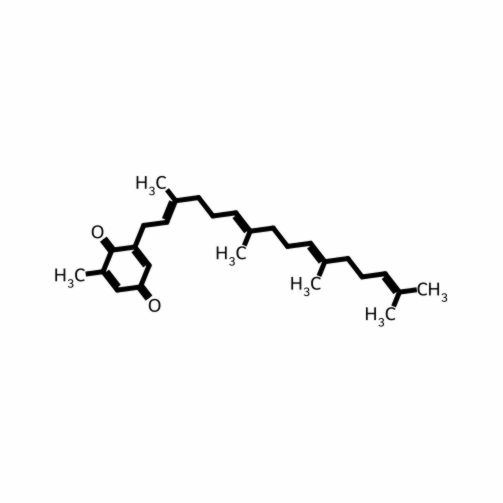 CC(C)=CCC/C(C)=C/CC/C(C)=C/CC/C(C)=C/CC1=CC(=O)C=C(C)C1=O